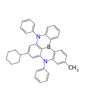 Cc1ccc2c(c1)N(c1ccccc1)c1cc(C3CCCCC3)cc3c1B2c1ccccc1N3c1ccccc1